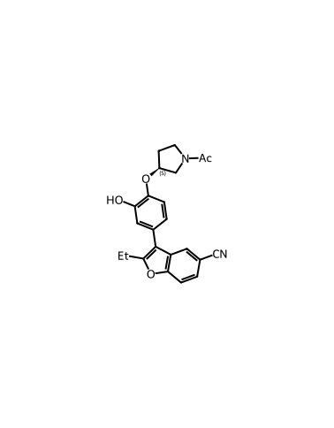 CCc1oc2ccc(C#N)cc2c1-c1ccc(O[C@H]2CCN(C(C)=O)C2)c(O)c1